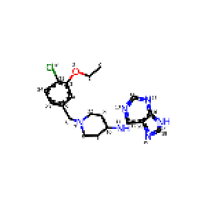 CCOc1cc(CN2CCC(Nc3ncnc4[nH]cnc34)CC2)ccc1Cl